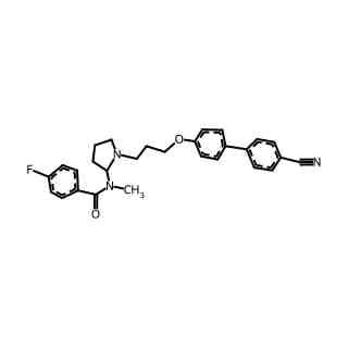 CN(C(=O)c1ccc(F)cc1)C1CCCN1CCCOc1ccc(-c2ccc(C#N)cc2)cc1